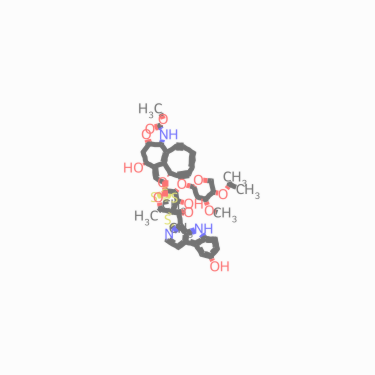 COC(=O)NC1C(=O)C[C@H](O)/C(=C/CS(C)(=S)=S)C2=C1C#C/C=C\C#C[C@@H]2OC1OC(C)C(SC)(C(=O)c2nccc3c2[nH]c2ccc(O)cc23)C(O)C1OC1CC(OC)C(OC(C)C)CO1